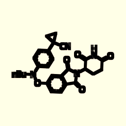 CCCCN(Oc1ccc2c(c1)C(=O)N(C1CCC(=O)NC1=O)C2=O)c1ccc(C2(C#N)CC2)cc1